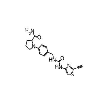 C#Cc1nc(NC(=O)NCc2ccc(N3CCCC3C(N)=O)cc2)cs1